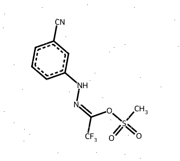 CS(=O)(=O)OC(=NNc1cccc(C#N)c1)C(F)(F)F